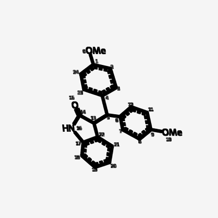 COc1ccc(C(c2ccc(OC)cc2)C2C(=O)Nc3ccccc32)cc1